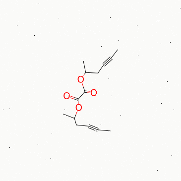 CC#CCC(C)OC(=O)C(=O)OC(C)CC#CC